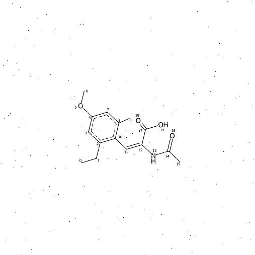 CCc1cc(OC)cc(C)c1/C=C(/NC(C)=O)C(=O)O